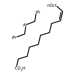 CC(C)[CH2][Al][CH2]C(C)C.CCCCCCCC/C=C\CCCCCCCC(=O)O